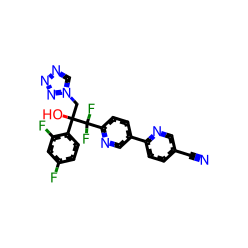 N#Cc1ccc(-c2ccc(C(F)(F)C(O)(Cn3cnnn3)c3ccc(F)cc3F)nc2)nc1